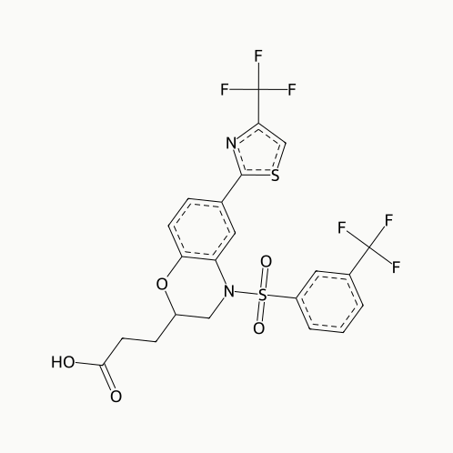 O=C(O)CCC1CN(S(=O)(=O)c2cccc(C(F)(F)F)c2)c2cc(-c3nc(C(F)(F)F)cs3)ccc2O1